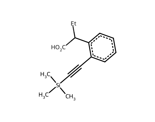 CCC(C(=O)O)c1ccccc1C#C[Si](C)(C)C